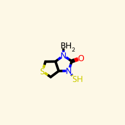 BN1C(=O)N(S)C2CSCC21